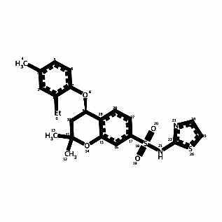 CCc1cc(C)ccc1O[C@@H]1CC(C)(C)Oc2cc(S(=O)(=O)Nc3nccs3)ccc21